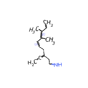 C=C=C(CC=N)C/C=C\C(C)=C(/C)C=C